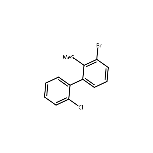 CSc1c(Br)cccc1-c1ccccc1Cl